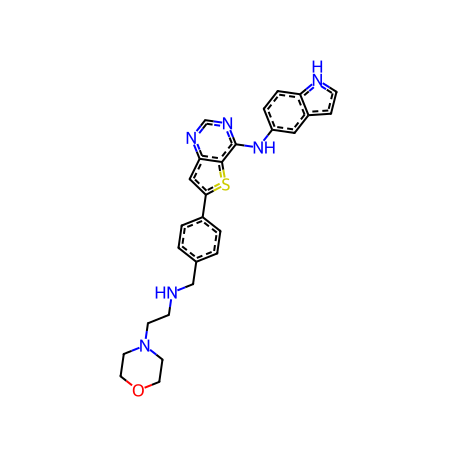 c1nc(Nc2ccc3[nH]ccc3c2)c2sc(-c3ccc(CNCCN4CCOCC4)cc3)cc2n1